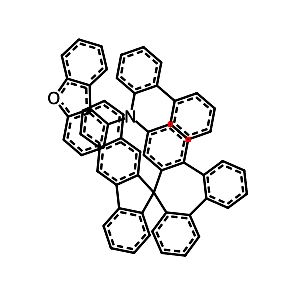 c1ccc(-c2ccccc2N(c2ccc3c(c2)C2(c4ccccc4-c4ccccc4-3)c3ccccc3-c3cc4ccccc4cc32)c2cccc3oc4ccccc4c23)cc1